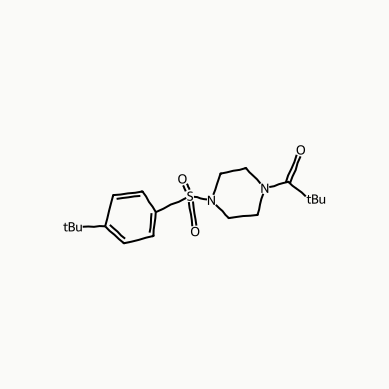 CC(C)(C)C(=O)N1CCN(S(=O)(=O)c2ccc(C(C)(C)C)cc2)CC1